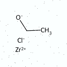 CC[O-].[Cl-].[Zr+2]